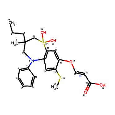 CCCC1(C)CN(c2ccccc2)c2cc(SC)c(O/C=C/C(=O)O)cc2S(O)(O)C1